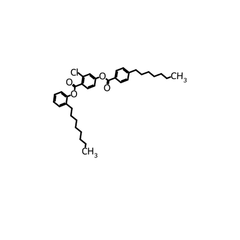 CCCCCCCCc1ccccc1OC(=O)c1ccc(OC(=O)c2ccc(CCCCCCC)cc2)cc1Cl